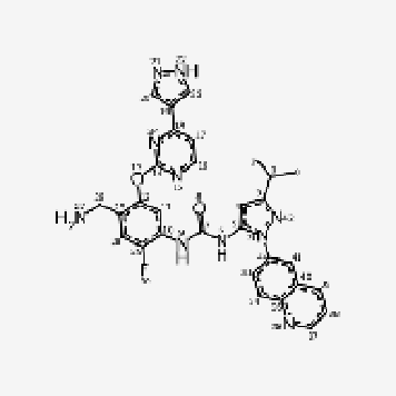 CC(C)c1cc(NC(=O)Nc2cc(Oc3nccc(-c4cn[nH]c4)n3)c(CN)cc2F)n(-c2ccc3ncccc3c2)n1